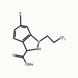 COC(=O)C1NN(CCC(F)(F)F)c2cc(F)ccc21